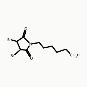 O=C(O)CCCCCN1C(=O)C(Br)C(Br)C1=O